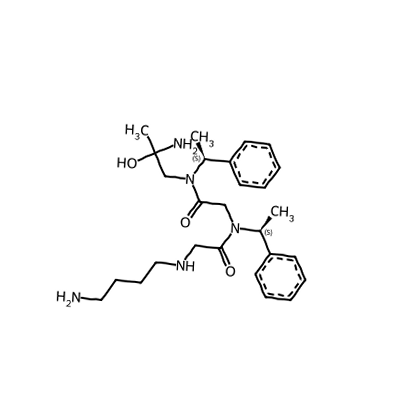 C[C@@H](c1ccccc1)N(CC(=O)N(CC(C)(N)O)[C@@H](C)c1ccccc1)C(=O)CNCCCCN